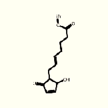 CC(C)OC(=O)CCCC=CCC1C(=O)C=CC1O